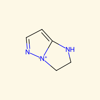 C1=N[N+]2CCNC2=C1